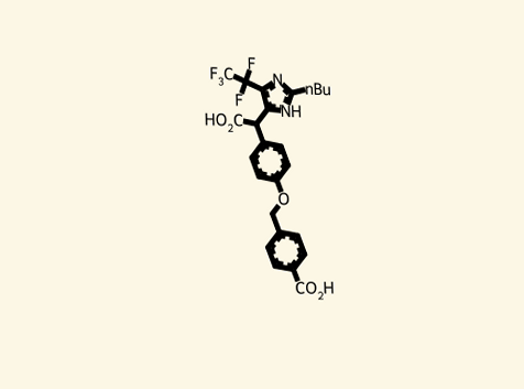 CCCCc1nc(C(F)(F)C(F)(F)F)c(C(C(=O)O)c2ccc(OCc3ccc(C(=O)O)cc3)cc2)[nH]1